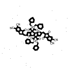 N#Cc1cc2c(cc1C#N)C(=O)/C(=C\c1cc3c(s1)C1=C(c4sc(C=C5C(=O)c6cc(C#N)c(C#N)cc6C5=O)cc4C1(C(=O)OCc1ccccc1)C(=O)OCc1ccccc1)C3(C(=O)OCc1ccccc1)C(=O)OCc1ccccc1)C2